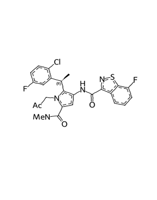 CNC(=O)c1cc(NC(=O)c2nsc3c(F)cccc23)c([C@H](C)c2cc(F)ccc2Cl)n1CC(C)=O